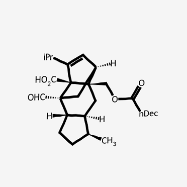 CCCCCCCCCCC(=O)OC[C@]12C[C@H]3[C@@H](C)CC[C@@H]3[C@]3(C=O)C[C@H]1C=C(C(C)C)[C@]23C(=O)O